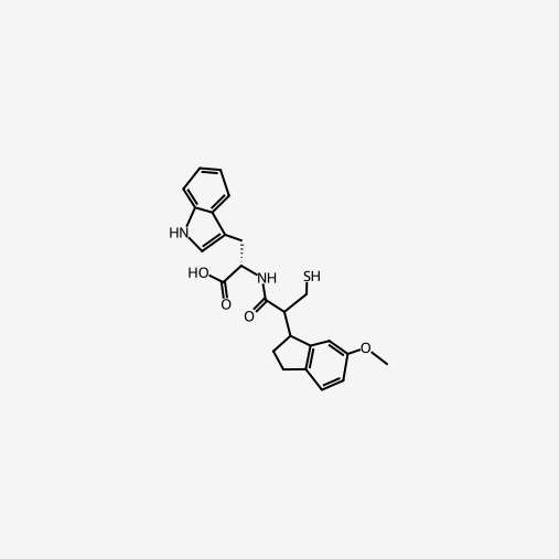 COc1ccc2c(c1)C(C(CS)C(=O)N[C@@H](Cc1c[nH]c3ccccc13)C(=O)O)CC2